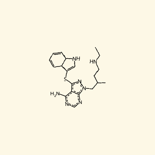 CCNCCC(C)Cn1nc(SC2=CNC3C=CC=CC23)c2c(N)ncnc21